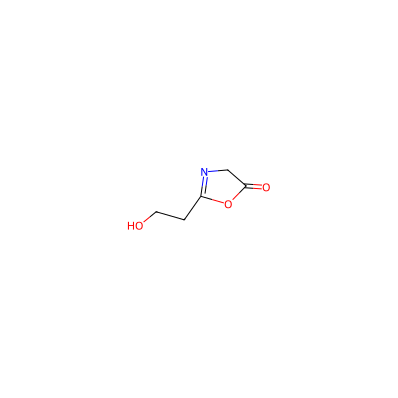 O=C1CN=C(CCO)O1